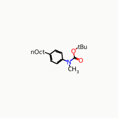 CCCCCCCCc1ccc(N(C)C(=O)OC(C)(C)C)cc1